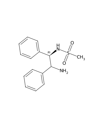 CS(=O)(=O)N[C@H](c1ccccc1)C(N)c1ccccc1